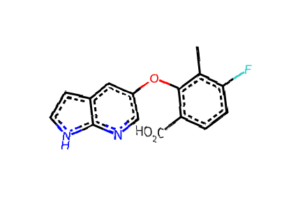 Cc1c(F)ccc(C(=O)O)c1Oc1cnc2[nH]ccc2c1